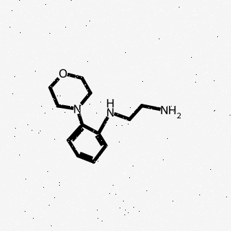 NCCNc1ccccc1N1CCOCC1